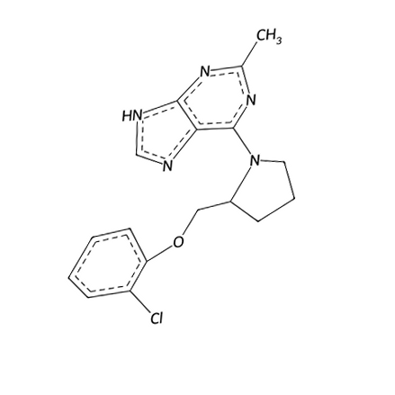 Cc1nc(N2CCCC2COc2ccccc2Cl)c2nc[nH]c2n1